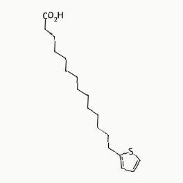 O=C(O)CCCCCCCCCCCCCc1cccs1